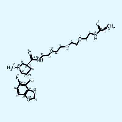 C=CC(=O)NCCOCCOCCOCCNC(=O)[C@H]1C[C@H](Cc2c(F)ccc3c2OCO3)CN(C)C1